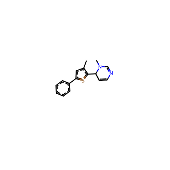 Cc1cc(-c2ccccc2)sc1C1C=CN=CN1C